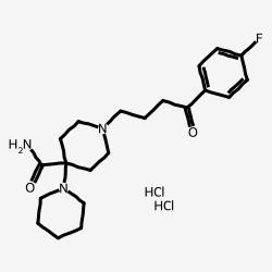 Cl.Cl.NC(=O)C1(N2CCCCC2)CCN(CCCC(=O)c2ccc(F)cc2)CC1